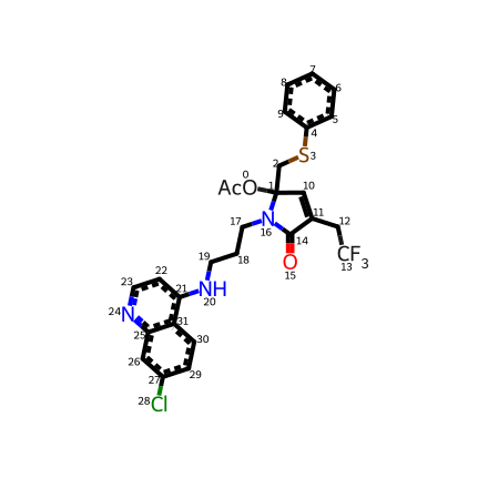 CC(=O)OC1(CSc2ccccc2)C=C(CC(F)(F)F)C(=O)N1CCCNc1ccnc2cc(Cl)ccc12